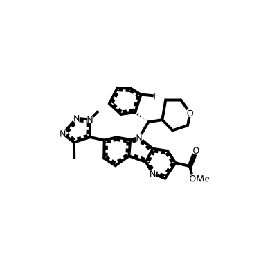 COC(=O)c1cnc2c3ccc(-c4c(C)nnn4C)cc3n([C@H](c3ccccc3F)C3CCOCC3)c2c1